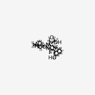 C[C@@]1(O)COCCN(c2nc(OC[C@]34CCC[C@H]3N(C3CC3)CCC4)nc3c(F)c(-c4cc(O)cc5cccc(F)c45)ncc23)C1